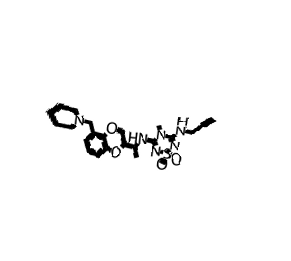 C#CCNC1=NS(=O)(=O)N=C(NC(C)C2COc3c(CN4CCCCC4)cccc3O2)N1C